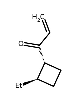 C=CC(=O)[C@@H]1CC[C@H]1CC